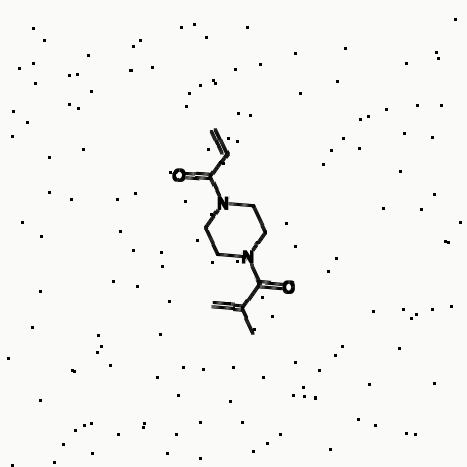 C=CC(=O)N1CCN(C(=O)C(=C)C)CC1